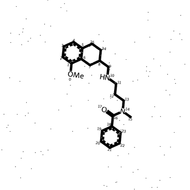 COc1cccc2c1CC(CNCCCN(C)C(=O)c1ccccc1)CC2